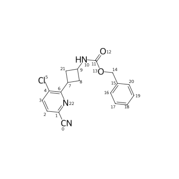 N#Cc1ccc(Cl)c(C2CC(NC(=O)OCc3ccccc3)C2)n1